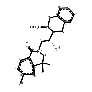 CC1(C)CN(C[C@@H](O)C2Cc3ccccc3CN2C(=O)O)C(=O)c2ccc(Br)cc21